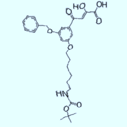 CC(C)(C)OC(=O)NCCCCCCOc1cc(OCc2ccccc2)cc(C(=O)/C=C(\O)C(=O)O)c1